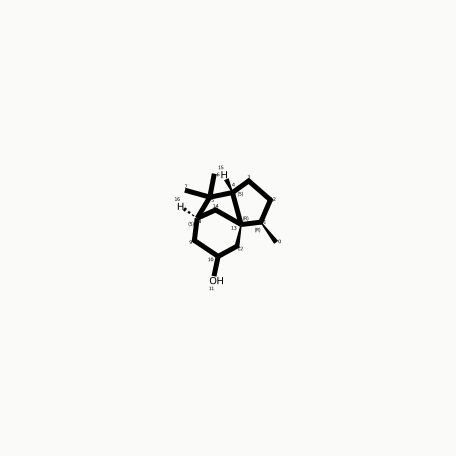 C[C@@H]1CC[C@H]2C(C)(C)[C@@H]3CC(O)C[C@]12C3